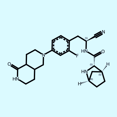 N#C[C@H](Cc1ccc(N2CCC3C(=O)NCCC3C2)cc1F)NC(=O)[C@H]1N[C@@H]2CC[C@H]1C2